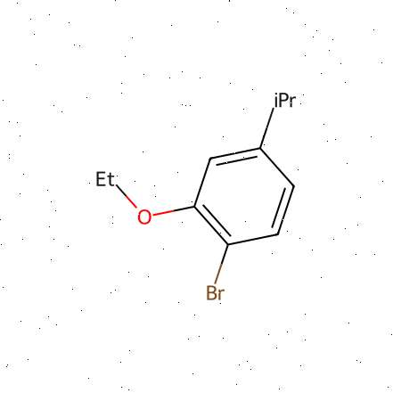 [CH2]C(C)c1ccc(Br)c(OCC)c1